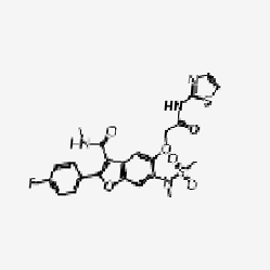 CNC(=O)c1c(-c2ccc(F)cc2)oc2cc(N(C)S(C)(=O)=O)c(OCC(=O)Nc3nccs3)cc12